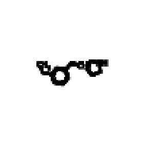 C1CCNC1.C=Cc1cccc(CC)c1